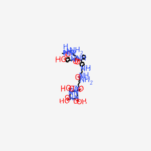 CCNC(=O)/N=C(/N)NCCC[C@@H](NC(=O)[C@H](c1ccccc1)c1ccc(NCCCNC(=O)[C@H](N)CCCCNC(C=O)N2CCN(CC(=O)O)CCN(CC(=O)O)CCN(CC(=O)O)CC2)cc1)C(=O)NCc1ccc(O)cc1